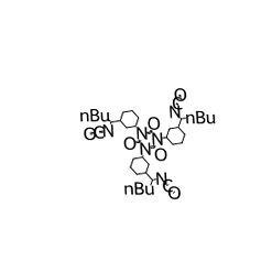 CCCCC(N=C=O)C1CCCC(n2c(=O)n(C3CCCC(C(CCCC)N=C=O)C3)c(=O)n(C3CCCC(C(CCCC)N=C=O)C3)c2=O)C1